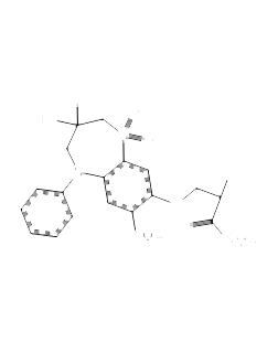 CCC1(CC)CN(c2ccccc2)c2cc(SC)c(OC[C@@](C)(F)C(=O)OC)cc2S(=O)(=O)C1